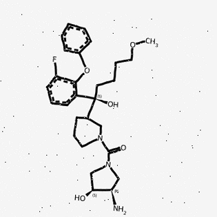 COCCCC[C@@](O)(c1cccc(F)c1Oc1ccccc1)C1CCCN(C(=O)N2C[C@@H](N)[C@@H](O)C2)C1